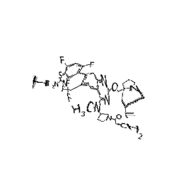 C=CC(=O)N1CCC(N(C)c2nc(OCC34CCCN3CC(F)C4)nc3cc(-c4c(F)cc(F)c5sc(N)nc45)c(C(F)(F)F)cc23)C1